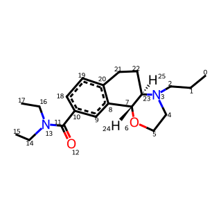 CCCN1CCO[C@@H]2c3cc(C(=O)N(CC)CC)ccc3CC[C@H]21